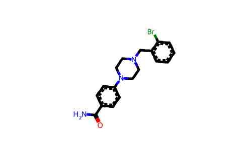 NC(=O)c1ccc(N2CCN(Cc3ccccc3Br)CC2)cc1